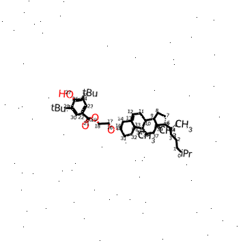 CC(C)CCC[C@@H](C)[C@H]1CCC2C3CC=C4C[C@@H](OCCOC(=O)c5cc(C(C)(C)C)c(O)c(C(C)(C)C)c5)CC[C@]4(C)C3CC[C@@]21C